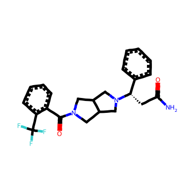 NC(=O)C[C@@H](c1ccccc1)N1CC2CN(C(=O)c3ccccc3C(F)(F)F)CC2C1